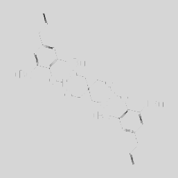 C=CCc1cc(C(C)(C)C)c(OP2OCC3(CO2)COP(Oc2c(C(C)(C)C)cc(CC=C)cc2C(C)(C)C)OC3)c(C(C)(C)C)c1